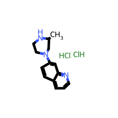 CC1CN(c2ccc3cccnc3c2)CCN1.Cl.Cl